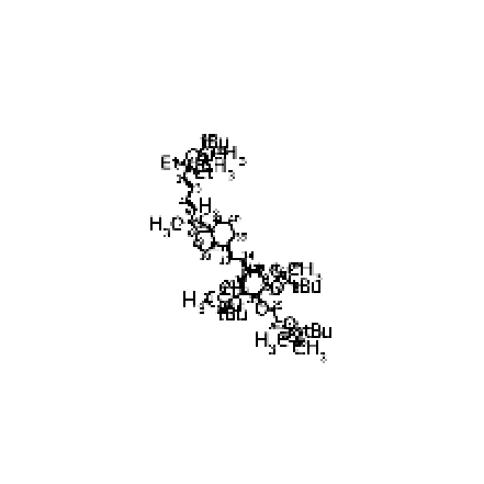 CCC(/C=C/C=C/[C@@H](C)C1CCC2/C(=C/C=C3C[C@@H](O[Si](C)(C)C(C)(C)C)C(OCCO[Si](C)(C)C(C)(C)C)[C@H](O[Si](C)(C)C(C)(C)C)C3)CCCC21C)(CC)O[Si](C)(C)C(C)(C)C